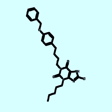 CCCCCn1c(=O)n(CCCCc2ccc(OCc3ccccc3)cc2)c(=O)c2[nH]c(Cl)nc21